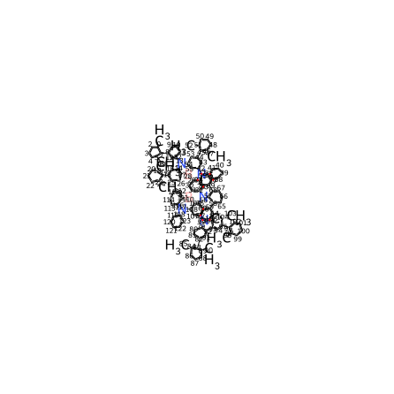 Cc1cccc(C)c1-c1cccc(N2c3cc(-c4c(C)cccc4C)ccc3B3c4cc5c(cc4N(c4ccccc4)c4cc(-c6c(C)cccc6C)cc2c43)N(c2c(-c3ccccc3)cccc2-c2ccccc2)c2cc(-n3c4ccc(-c6c(C)cccc6C)cc4c4cc(-c6c(C)cccc6C)ccc43)cc3c2B5c2ccccc2N3c2ccccc2)c1